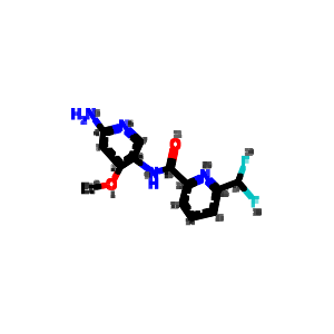 CCOc1cc(N)ncc1NC(=O)c1cccc(C(F)F)n1